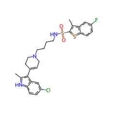 Cc1[nH]c2ccc(Cl)cc2c1C1=CCN(CCCCNS(=O)(=O)c2sc3ccc(F)cc3c2C)CC1